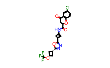 O=C1CC(C(=O)NC23CC(c4nnc([C@H]5C[C@@H](OC(F)(F)F)C5)o4)(C2)C3)Oc2ccc(Cl)cc21